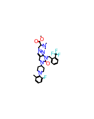 COC(=O)C(Cn1cc2c(n1)N(Cc1ccccc1C(F)(F)F)C(=O)N(C1CCN(c3c(C)cccc3F)CC1)C2)N(C)C